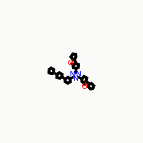 c1ccc(-c2ccc(-c3cccc(-c4nc(-c5ccc6c(c5)oc5ccccc56)nc(-c5ccc6c(c5)oc5ccccc56)n4)c3)cc2)cc1